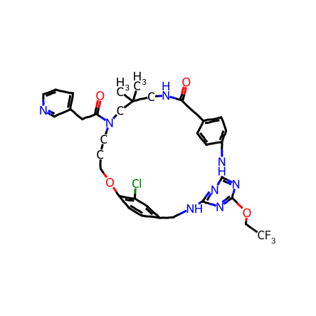 CC1(C)CNC(=O)c2ccc(cc2)Nc2nc(nc(OCC(F)(F)F)n2)NCc2ccc(c(Cl)c2)OCCCN(C(=O)Cc2cccnc2)C1